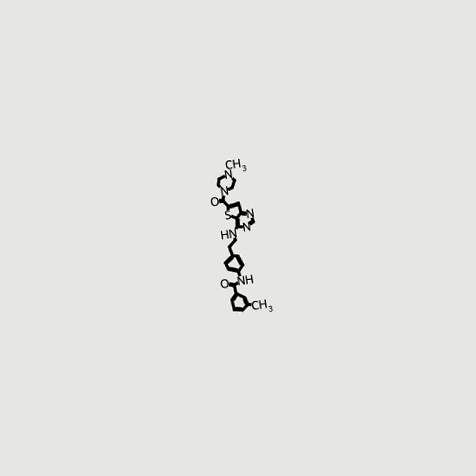 Cc1cccc(C(=O)Nc2ccc(CCNc3ncnc4cc(C(=O)N5CCN(C)CC5)sc34)cc2)c1